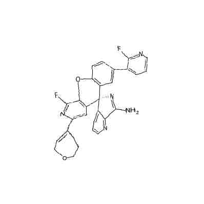 NC1=N[C@]2(c3cc(-c4cccnc4F)ccc3Oc3c2cc(C2=CCOCC2)nc3F)c2cccnc21